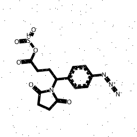 [N-]=[N+]=Nc1ccc(C(CCC(=O)O[SH](=O)=O)N2C(=O)CCC2=O)cc1